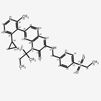 CCC(C)(C)n1c(=O)c(NCc2ccc(S(=O)(=O)CC)cn2)nc2ncc(-c3c(C)ncnc3C3CC3)nc21